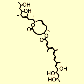 CC(=C/C=C/C(C)=C/[C@H](O)[C@@H](O)C[C@@H](C)O)C=C(C)/C=C/C(=O)O[C@H]1CCCC(=O)O[C@@H]([C@@H](C)C/C(C)=C/[C@@H](C)[C@H](O)C[C@@H](C)O)C/C=C/C[C@@H]1C